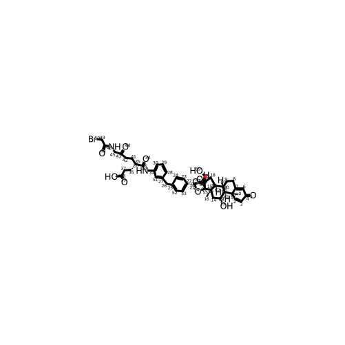 C[C@]12C=CC(=O)C=C1CC[C@@H]1[C@@H]2[C@@H](O)C[C@@]2(C)[C@H]1C[C@H]1O[C@@H](c3ccc(Cc4cccc(NC(=O)[C@H](CCC(=O)O)CCC(=O)CNC(=O)CBr)c4)cc3)O[C@]12C(=O)CO